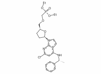 CCOP(=O)(COC[C@@H]1CC[C@H](n2ccc3c(N[C@H](C)c4ccccc4)cc(Cl)nc32)O1)OCC